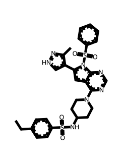 CCc1ccc(S(=O)(=O)NC2CCN(c3ncnc4c3cc(-c3c[nH]nc3C)n4S(=O)(=O)c3ccccc3)CC2)cc1